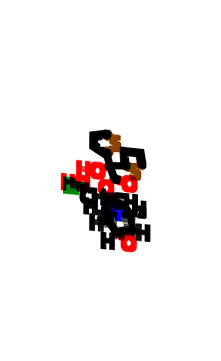 CO.C[N+]1(C)[C@@H]2C[C@@H](OC(=O)C(O)(c3cccs3)c3cccs3)C[C@H]1[C@@H]1O[C@@H]12.[Br-]